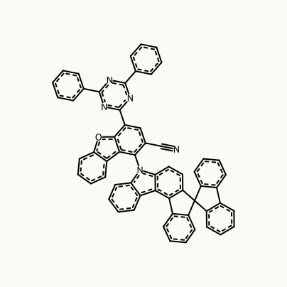 N#Cc1cc(-c2nc(-c3ccccc3)nc(-c3ccccc3)n2)c2oc3ccccc3c2c1-n1c2ccccc2c2c3c(ccc21)C1(c2ccccc2-c2ccccc21)c1ccccc1-3